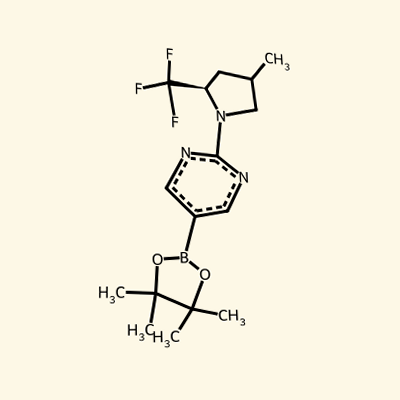 CC1C[C@H](C(F)(F)F)N(c2ncc(B3OC(C)(C)C(C)(C)O3)cn2)C1